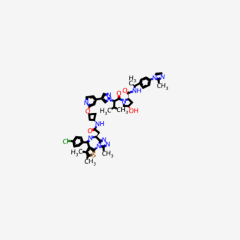 Cc1sc2c(c1C)C(c1ccc(Cl)cc1)=N[C@@H](CC(=O)N[C@H]1C[C@@H](Oc3cc(-c4cnn(C(C(=O)N5C[C@H](O)C[C@H]5C(=O)N[C@@H](C)c5ccc(-n6ccnc6C)cc5)C(C)C)c4)ccn3)C1)c1nnc(C)n1-2